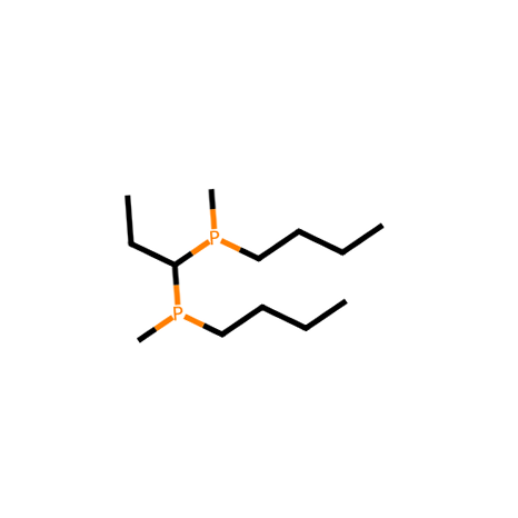 CCCCP(C)C(CC)P(C)CCCC